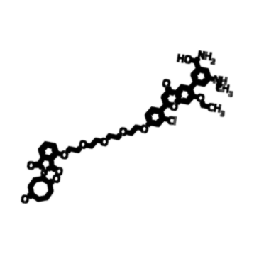 CCOc1cc2oc(-c3ccc(OCCOCCOCCOCCOc4cccc5c4C(=O)N(C4CCC(=O)CCCC4=O)C5=O)cc3Cl)cc(=O)c2cc1-c1cc(NC)cc(C(N)O)c1